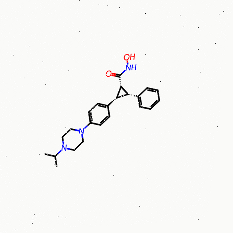 CC(C)N1CCN(c2ccc([C@H]3[C@H](C(=O)NO)[C@@H]3c3ccccc3)cc2)CC1